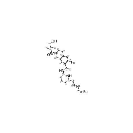 CCCC/C=N/N=C/C1=CC=CC(NC(=O)c2cc3c(cc2F)CCN(C(=O)C(C)(C)CO)C3)N1